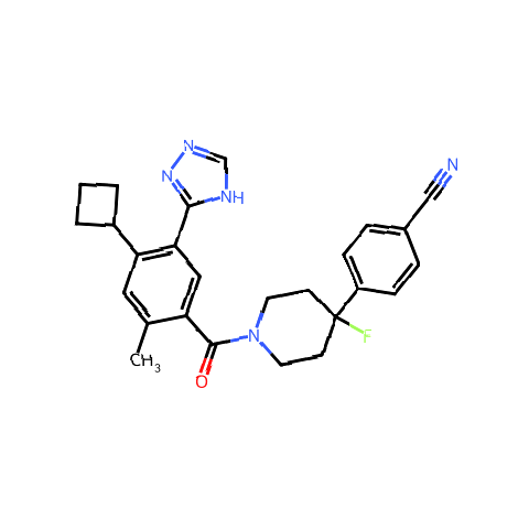 Cc1cc(C2CCC2)c(-c2nnc[nH]2)cc1C(=O)N1CCC(F)(c2ccc(C#N)cc2)CC1